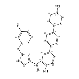 Fc1cccc(Cn2cc(-c3c[nH]c4ncc(-c5ccc(N6CCN(Cl)CC6)cc5)cc34)cn2)c1